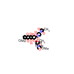 COc1cccc2c1C(=O)c1c(O)c3c(c(O)c1C2=O)C[C@@](O)(C(=O)N1CCC(N2C(=O)CC(C)C2=O)CC1)C[C@@H]3O[C@H]1C[C@H]2[C@H](O[C@@H]3[C@@H](OC)OCCN32)[C@H](C)O1